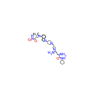 CN(CCC(=O)NC=O)c1cccc2c1ccn2C1CCN(CC2CN(/C(N)=C/C=C(\N)C(=O)NC3CCCCC3)C2)CC1